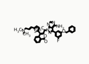 CC(c1oc(=O)c2ccccc2c1-c1ccc(C=CCN(C)C)s1)n1nc(-c2cc(F)cc(OCc3ccccc3)c2)c2c(N)ncnc21